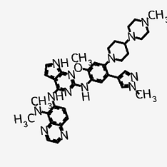 COc1cc(N2CCC(N3CCN(C)CC3)CC2)c(-c2cnn(C)c2)cc1Nc1nc(Nc2ccc3nccnc3c2N(C)C)c2cc[nH]c2n1